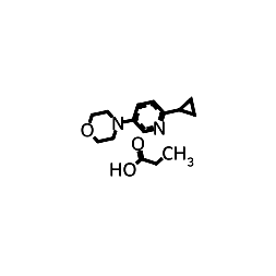 CCC(=O)O.c1cc(C2CC2)ncc1N1CCOCC1